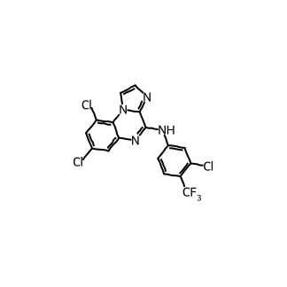 FC(F)(F)c1ccc(Nc2nc3cc(Cl)cc(Cl)c3n3ccnc23)cc1Cl